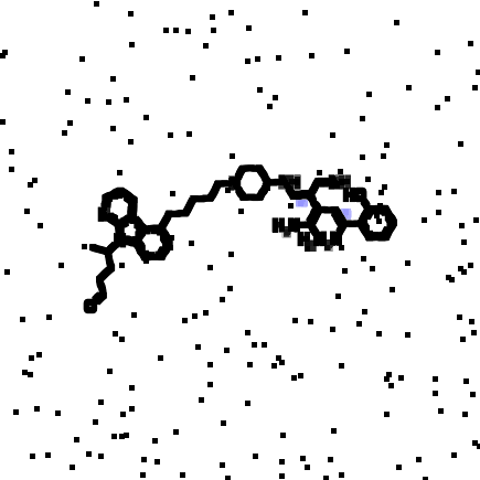 CC(CCC=O)n1c2cccc(CCCCCN3CCC(N/C=C(\C=N)C(/C=C(\N)c4ccccc4O)=C(N)N)CC3)c2c2cccnc21